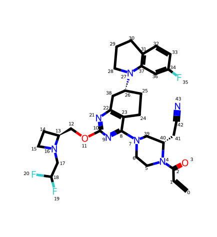 C=CC(=O)N1CCN(c2nc(OC[C@@H]3CCN3CC(F)F)nc3c2CC[C@@H](N2CCCc4ccc(F)cc42)C3)C[C@@H]1CC#N